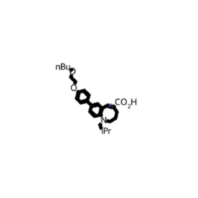 CCCCOCCOc1ccc(-c2ccc3c(c2)/C=C(/C(=O)O)CCCN3CC(C)C)cc1